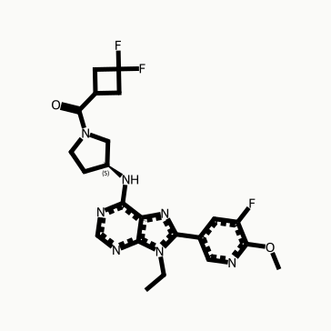 CCn1c(-c2cnc(OC)c(F)c2)nc2c(N[C@H]3CCN(C(=O)C4CC(F)(F)C4)C3)ncnc21